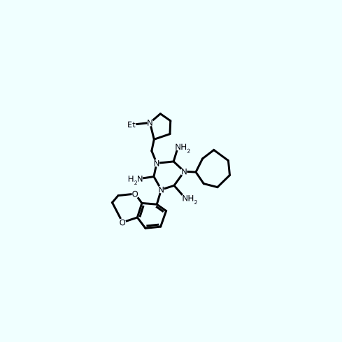 CCN1CCCC1CN1C(N)N(c2cccc3c2OCCO3)C(N)N(C2CCCCCC2)C1N